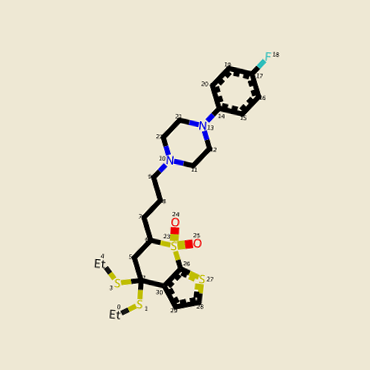 CCSC1(SCC)CC(CCCN2CCN(c3ccc(F)cc3)CC2)S(=O)(=O)c2sccc21